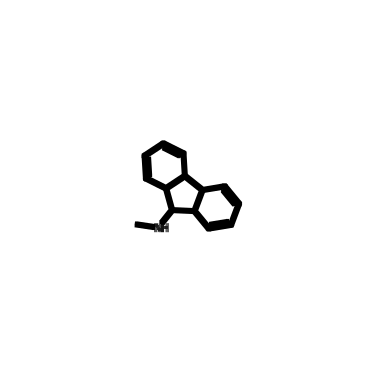 CNC1C2C=CC=CC2C2C=CC=CC21